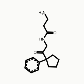 NCCC(=O)NCC(=O)C1(c2ccccc2)CCCC1